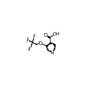 O=C(O)c1ccncc1OCC(F)(F)F